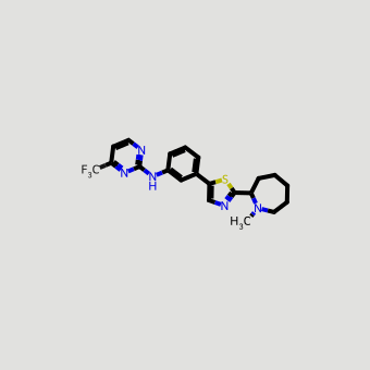 CN1CCCCCC1c1ncc(-c2cccc(Nc3nccc(C(F)(F)F)n3)c2)s1